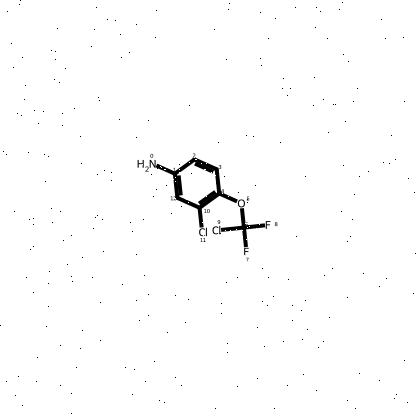 Nc1ccc(OC(F)(F)Cl)c(Cl)c1